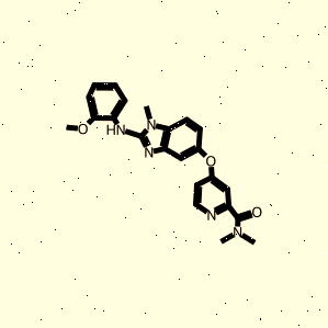 COc1ccccc1Nc1nc2cc(Oc3ccnc(C(=O)N(C)C)c3)ccc2n1C